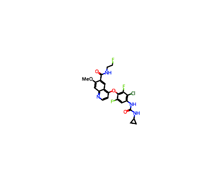 COc1cc2nccc(Oc3c(F)cc(NC(=O)NC4CC4)c(Cl)c3F)c2cc1C(=O)NCCF